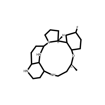 C[C@H]1CCNC2CCNC3CCC(NC23)N2CCC[C@@H]2C2CC(F)CCC2O1